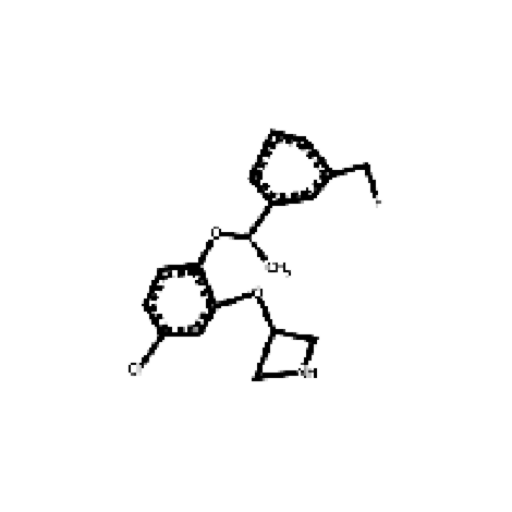 C[C@@H](Oc1ccc(Cl)cc1OC1CNC1)c1cccc(CF)c1